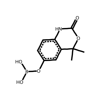 CC1(C)OC(=O)Nc2ccc(OB(O)O)cc21